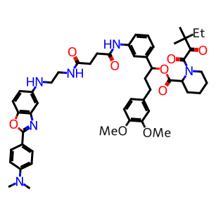 CCC(C)(C)C(=O)C(=O)N1CCCCC1C(=O)OC(CCc1ccc(OC)c(OC)c1)c1cccc(NC(=O)CCC(=O)NCCNc2ccc3oc(-c4ccc(N(C)C)cc4)nc3c2)c1